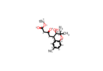 CC(C)(C)OC(=O)CC(=O)CC1c2cc(C#N)ccc2OC(C)(C)C1O